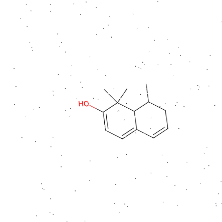 CC1CC=CC2=CC=C(O)C(C)(C)C21